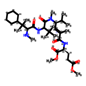 CN[C@H](C(=O)NC(C(=O)N(C)[C@H](/C=C(\C)C(=O)N[C@H](CCC(=O)OC)C(=O)OC)C(C)C)C(C)(C)C)C(C)(C)C1CCCCC1